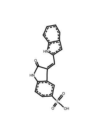 O=C1Nc2ccc(S(=O)(=O)O)cc2/C1=C/c1cc2ccccc2[nH]1